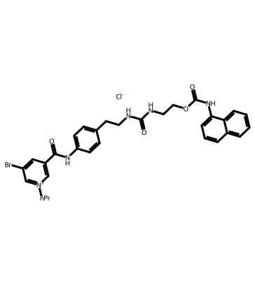 CCC[n+]1cc(Br)cc(C(=O)Nc2ccc(CCNC(=O)NCCOC(=O)Nc3cccc4ccccc34)cc2)c1.[Cl-]